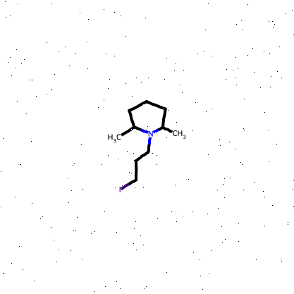 CC1CCCC(C)N1CCCI